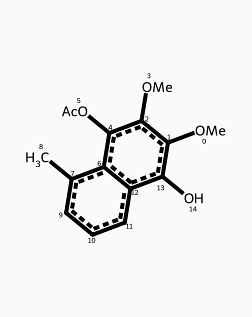 COc1c(OC)c(OC(C)=O)c2c(C)cccc2c1O